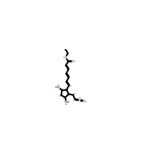 CCOC(=O)C=CC=CC=CC1C(O)CC(O)C1CC=C=O